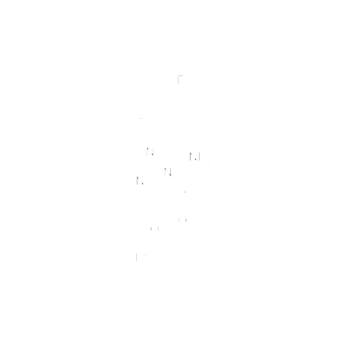 CCOC(=O)c1cnc2n(c1=O)C(N)C(c1ccc(F)cc1F)=N2